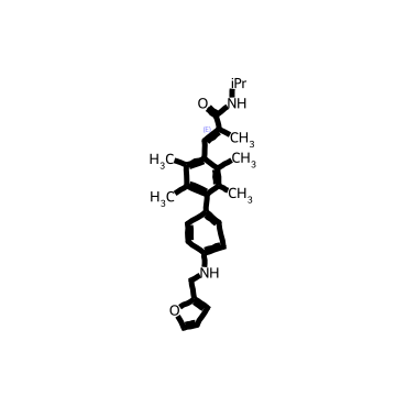 C/C(=C\c1c(C)c(C)c(-c2ccc(NCc3ccco3)cc2)c(C)c1C)C(=O)NC(C)C